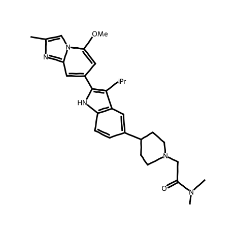 COc1cc(-c2[nH]c3ccc(C4CCN(CC(=O)N(C)C)CC4)cc3c2C(C)C)cc2nc(C)cn12